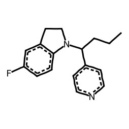 CCCC(c1ccncc1)N1CCc2cc(F)ccc21